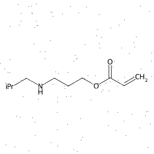 C=CC(=O)OCCCNCC(C)C